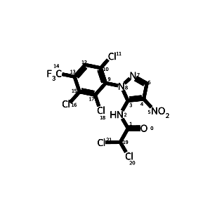 O=C(Nc1c([N+](=O)[O-])cnn1-c1c(Cl)cc(C(F)(F)F)c(Cl)c1Cl)C(Cl)Cl